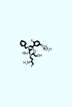 CC(C)(C)[C@H](c1nc(-c2cc(F)ccc2F)cn1Cc1ccccc1)N(CC[C@H](N)CF)C(=O)CO.CS(=O)(=O)O